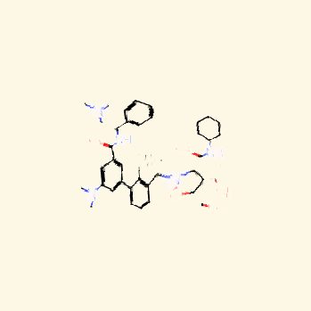 COc1c(CN2O[C@@H](CO)[C@@H]([C@H](C)O)[C@H]2C(=O)N[C@H]2CCC[C@H](C)[C@@H]2C)cccc1-c1cc(C(=O)N[C@H](CN(C)C)c2ccccc2)cc(N(C)C)c1